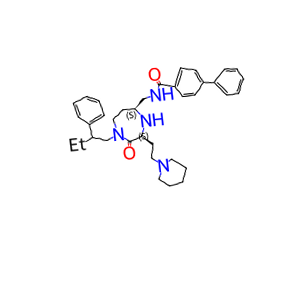 CCC(CN1CC[C@@H](CNC(=O)c2ccc(-c3ccccc3)cc2)N[C@@H](CCN2CCCCC2)C1=O)c1ccccc1